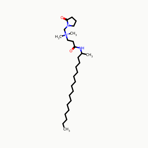 CCCCCCCCCCCCCCCCC(C)NC(=O)CC[N+](C)(C)CN1CCCC1=O